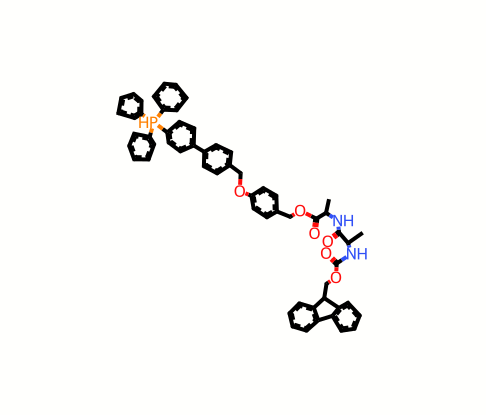 CC(NC(=O)OCC1c2ccccc2-c2ccccc21)C(=O)NC(C)C(=O)OCc1ccc(OCc2ccc(-c3ccc([PH](c4ccccc4)(c4ccccc4)c4ccccc4)cc3)cc2)cc1